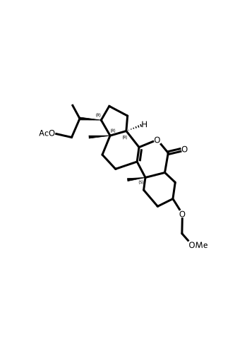 COCOC1CC[C@]2(C)C3=C(OC(=O)C2C1)[C@@H]1CC[C@H](C(C)COC(C)=O)[C@@]1(C)CC3